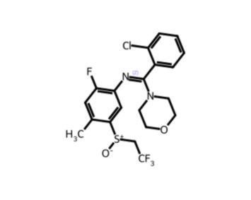 Cc1cc(F)c(/N=C(/c2ccccc2Cl)N2CCOCC2)cc1[S+]([O-])CC(F)(F)F